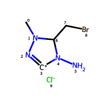 CN1N=[C+]N(N)C1CBr.[Cl-]